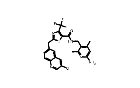 Cc1cc(N)nc(C)c1CNC(=O)c1oc(Cc2ccc3ncc(Cl)cc3c2)nc1C(F)(F)F